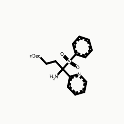 CCCCCCCCCCCCC(N)(c1ccccn1)S(=O)(=O)c1ccccc1